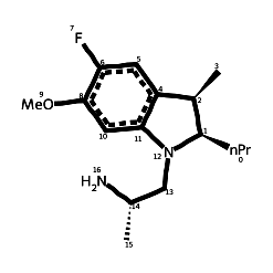 CCC[C@@H]1[C@H](C)c2cc(F)c(OC)cc2N1C[C@H](C)N